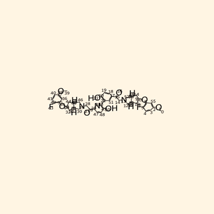 COc1ccc(F)c(O[C@H]2C[C@@H]3CN(CC(=O)c4ccc(O)c(-c5nc(C(=O)CN6C[C@H]7C[C@H](Oc8cc(OC)ccc8F)C[C@H]7C6)ccc5O)c4)C[C@@H]3C2)c1